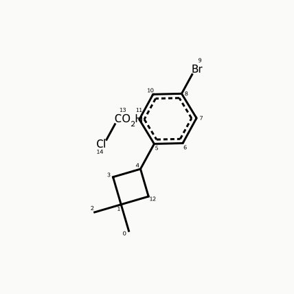 CC1(C)CC(c2ccc(Br)cc2)C1.O=C(O)Cl